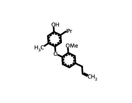 C=CCc1ccc(Oc2cc(C(C)C)c(O)cc2C)c(OC)c1